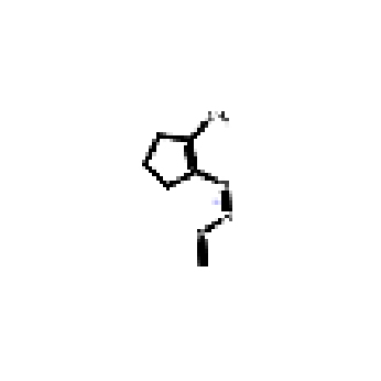 C=N/N=N\C1=C(N)CCC1